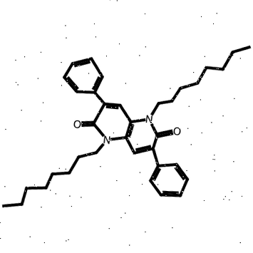 CCCCCCCCn1c(=O)c(-c2ccccc2)cc2c1cc(-c1ccccc1)c(=O)n2CCCCCCCC